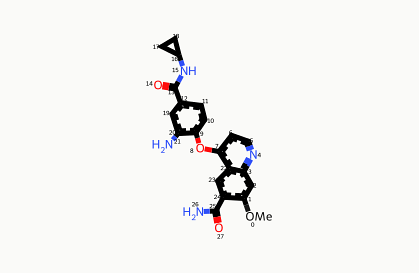 COc1cc2nccc(Oc3ccc(C(=O)NC4CC4)cc3N)c2cc1C(N)=O